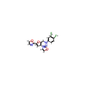 Fc1ccc(NCc2ccc(-c3ncco3)o2)cc1F.c1cocn1